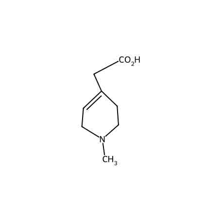 CN1CC=C(CC(=O)O)CC1